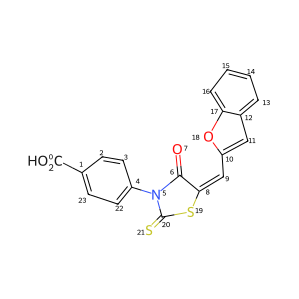 O=C(O)c1ccc(N2C(=O)C(=Cc3cc4ccccc4o3)SC2=S)cc1